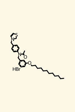 Br.CCCCCCCCCCCCOc1cccc(CN(C(C)=O)c2ccc(CN3C=CSC3)cc2)c1